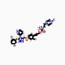 Cc1cc(OCc2nnc(SC3CCCC=C3F)n2-c2cccnc2)ccc1C#CCOC(=O)NCCN1CCN(C)CC1